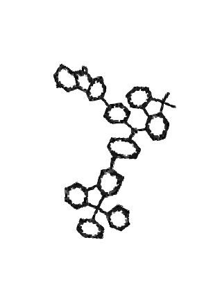 CC1(C)c2ccccc2-c2c(N(c3ccc(-c4ccc5c(c4)-c4ccccc4C5(c4ccccc4)c4ccccc4)cc3)c3ccc(-c4ccc5oc6ccccc6c5c4)cc3)cccc21